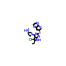 CCc1[nH]c2nc(Sc3cnc4nccnc4c3)nc(N3CC[C@H](NC)C3)c2c1Cl